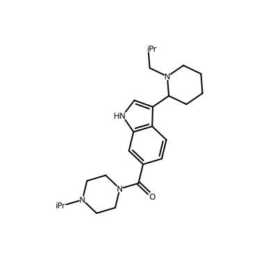 CC(C)CN1CCCCC1c1c[nH]c2cc(C(=O)N3CCN(C(C)C)CC3)ccc12